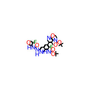 Cc1c(-c2cc3cc(NC(=O)N[C@H]4COC[C@H]4F)ncc3c(NC(=O)OC(C)(C)C)c2F)cnc2c1N(C(=O)OC(C)(C)C)CCO2